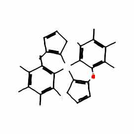 CC1=[C]([Ti]([C]2=C(C)C=CC2)([c]2c(F)c(F)c(F)c(F)c2F)[c]2c(F)c(F)c(F)c(F)c2F)CC=C1